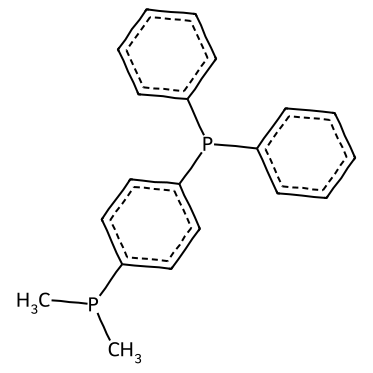 CP(C)c1ccc(P(c2ccccc2)c2ccccc2)cc1